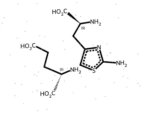 N[C@@H](CCC(=O)O)C(=O)O.Nc1nc(C[C@H](N)C(=O)O)cs1